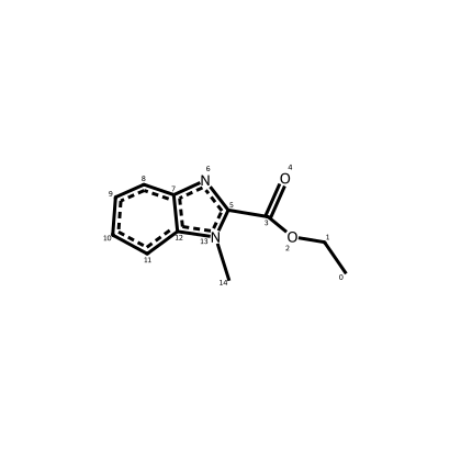 CCOC(=O)c1nc2ccccc2n1C